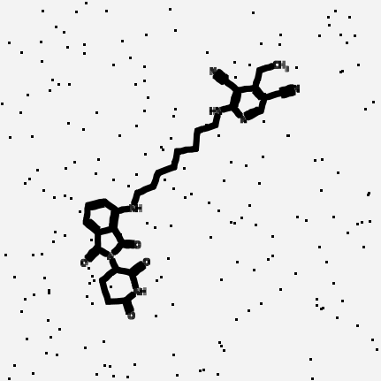 CCc1c(C#N)cnc(NCCCCCCCCNc2cccc3c2C(=O)N(C2CCC(=O)NC2=O)C3=O)c1C#N